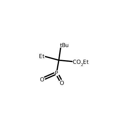 CCOC(=O)C(CC)(P(=O)=O)C(C)(C)C